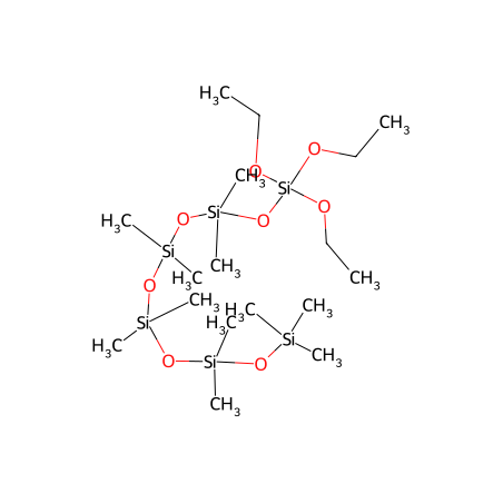 CCO[Si](OCC)(OCC)O[Si](C)(C)O[Si](C)(C)O[Si](C)(C)O[Si](C)(C)O[Si](C)(C)C